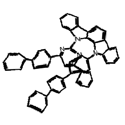 c1ccc(-c2ccc(-c3ccc(-n4c5ccccc5c5ccc6c7ccccc7n(-c7nc(-c8ccccc8)cc(-c8ccc(-c9ccccc9)cc8)n7)c6c54)cc3)cc2)cc1